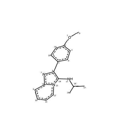 COc1ccc(-c2nc3ccccn3c2NC(C)C)cc1